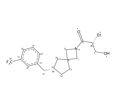 CC[C@H](CO)C(=O)N1CC2(CC[C@H](Cc3cccc(C(F)(F)F)c3)C2)C1